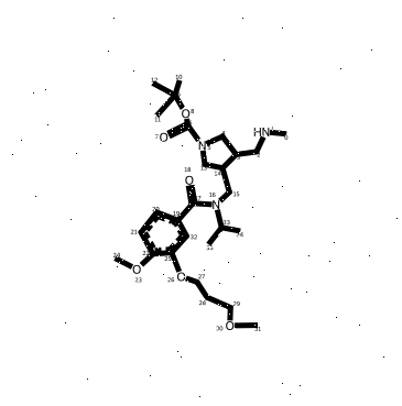 CNCC1CN(C(=O)OC(C)(C)C)CC1CN(C(=O)c1ccc(OC)c(OCCCOC)c1)C(C)C